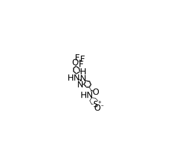 O=C(NC1CC[S+]([O-])CC1)c1ccc2[nH]c(Nc3ccc(OC(F)(F)F)cc3)nc2c1